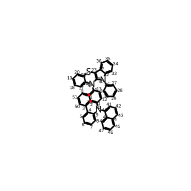 c1ccc(-c2ccccc2N(c2ccc(N3c4ccccc4Sc4c3n(-c3ccccc3)c3ccccc43)cc2)c2cccc3ccccc23)cc1